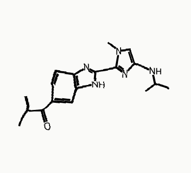 CC(C)Nc1cn(C)c(-c2nc3ccc(C(=O)C(C)C)cc3[nH]2)n1